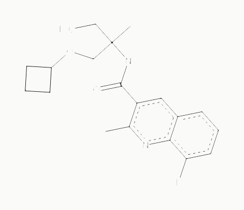 Cc1nc2c(F)cccc2cc1C(=O)NC(C)(COC1CCC1)CC(F)(F)F